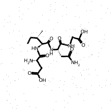 CC[C@H](C)[C@H](NC(=O)[C@@H](N)CC(=O)O)C(=O)N[C@@H](CC(N)=O)C(=O)NCC(=O)O